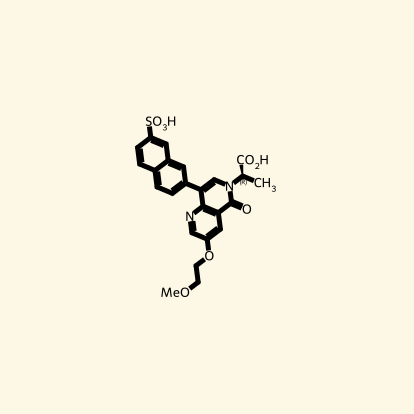 COCCOc1cnc2c(-c3ccc4ccc(S(=O)(=O)O)cc4c3)cn([C@H](C)C(=O)O)c(=O)c2c1